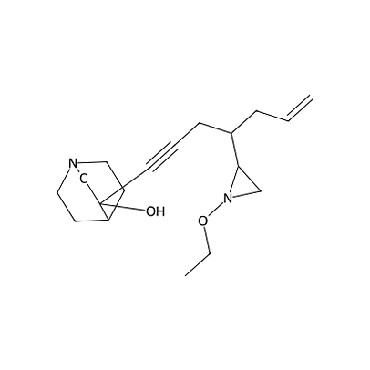 C=CCC(CC#CC1(O)CN2CCC1CC2)C1CN1OCC